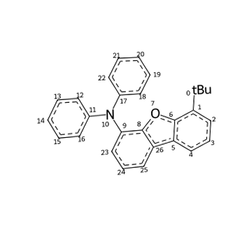 CC(C)(C)c1cccc2c1oc1c(N(c3ccccc3)c3ccccc3)cccc12